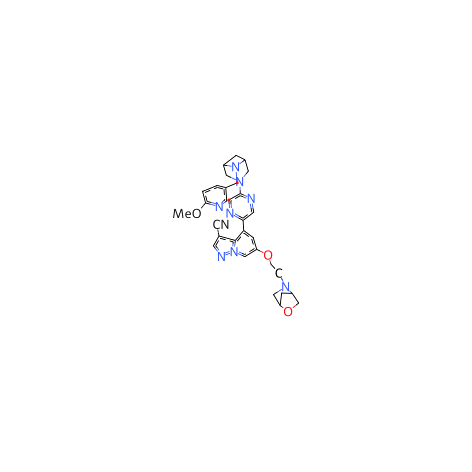 COc1ccc(CN2C3CC2CN(c2cnc(-c4cc(OCCN5CC6CC5CO6)cn5ncc(C#N)c45)cn2)C3)cn1